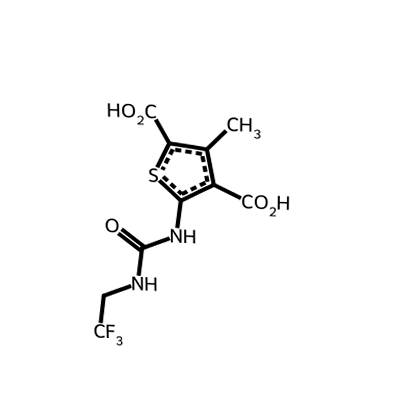 Cc1c(C(=O)O)sc(NC(=O)NCC(F)(F)F)c1C(=O)O